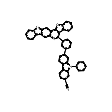 N#Cc1ccc2c3ccc(-c4cccc(-c5nc6cc7c(cc6c6oc8ccccc8c56)oc5ccccc57)c4)cc3n(-c3ccccc3)c2c1